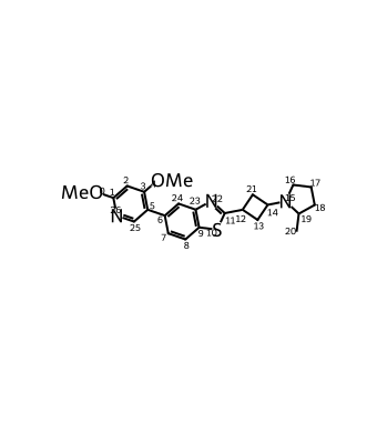 COc1cc(OC)c(-c2ccc3sc(C4CC(N5CCCC5C)C4)nc3c2)cn1